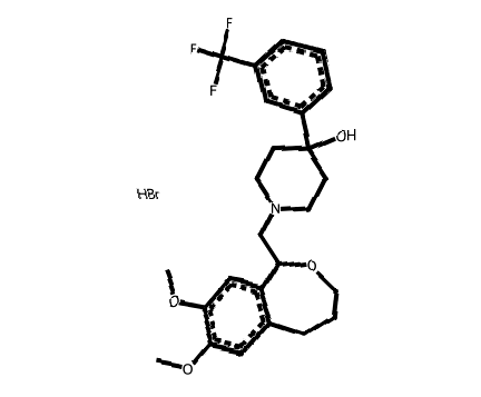 Br.COc1cc2c(cc1OC)C(CN1CCC(O)(c3cccc(C(F)(F)F)c3)CC1)OCCC2